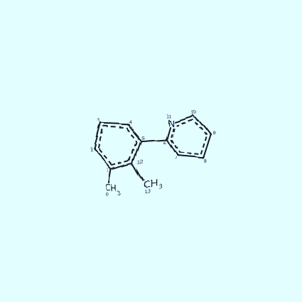 Cc1cccc(-c2ccc[c]n2)c1C